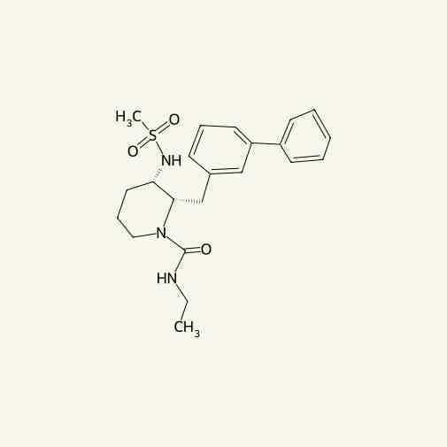 CCNC(=O)N1CCC[C@H](NS(C)(=O)=O)[C@@H]1Cc1cccc(-c2ccccc2)c1